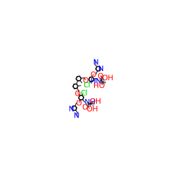 C/N=C/c1cncc(COc2cc(OCc3cccc(-c4cccc(COc5cc(OCc6cncc(/C=N/C)c6)c(CN[C@@H](C(=O)O)[C@@H](C)O)cc5Cl)c4C)c3C)c(Cl)cc2CN[C@@H](C(=O)O)[C@@H](C)O)c1